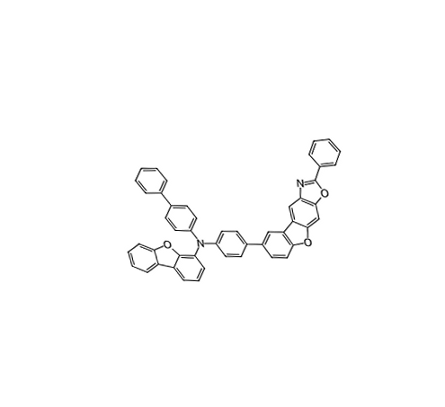 c1ccc(-c2ccc(N(c3ccc(-c4ccc5oc6cc7oc(-c8ccccc8)nc7cc6c5c4)cc3)c3cccc4c3oc3ccccc34)cc2)cc1